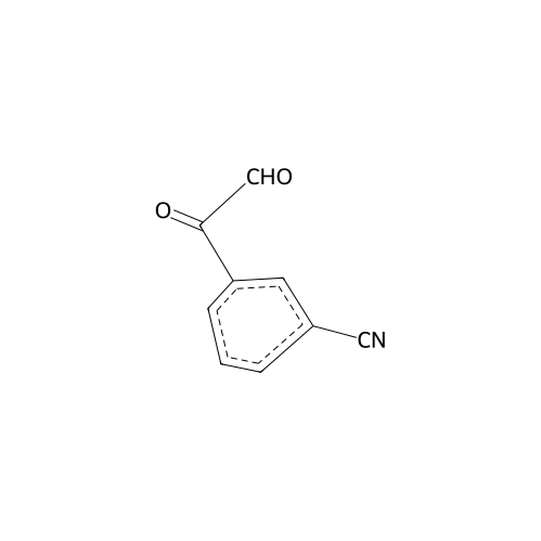 N#Cc1cccc(C(=O)C=O)c1